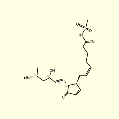 CCCC[C@H](C)C[C@H](O)/C=C/[C@H]1C(=O)C=C[C@@H]1C/C=C\CCCC(=O)NS(C)(=O)=O